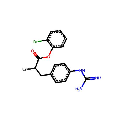 CCC(Cc1ccc(NC(=N)N)cc1)C(=O)Oc1ccccc1Br